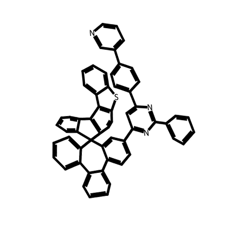 c1ccc(-c2nc(-c3ccc(-c4cccnc4)cc3)cc(-c3ccc4c(c3)C3(c5ccccc5-c5ccccc5-4)c4ccccc4-c4c3ccc3sc5ccccc5c43)n2)cc1